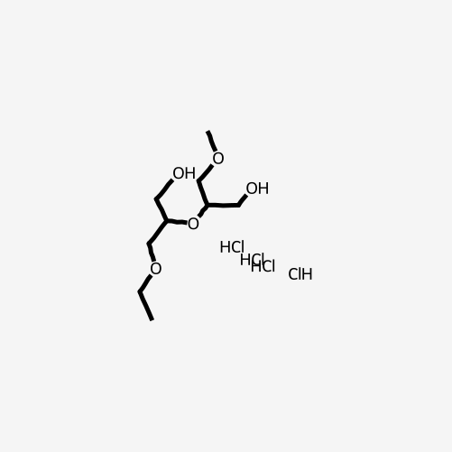 CCOCC(CO)OC(CO)COC.Cl.Cl.Cl.Cl